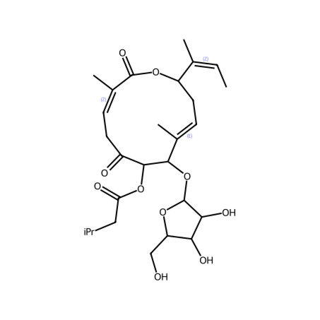 C/C=C(/C)C1C/C=C(\C)C(OC2OC(CO)C(O)C2O)C(OC(=O)CC(C)C)C(=O)C/C=C(/C)C(=O)O1